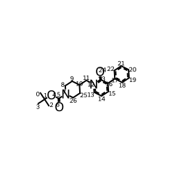 CC(C)(C)OC(=O)N1CCC(Cn2cccc(-c3ccccc3)c2=O)CC1